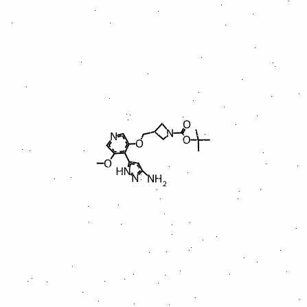 COc1cncc(OCC2CN(C(=O)OC(C)(C)C)C2)c1-c1cc(N)n[nH]1